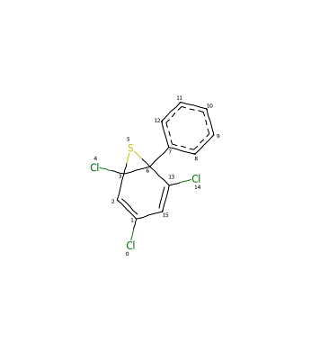 ClC1=CC2(Cl)SC2(c2ccccc2)C(Cl)=C1